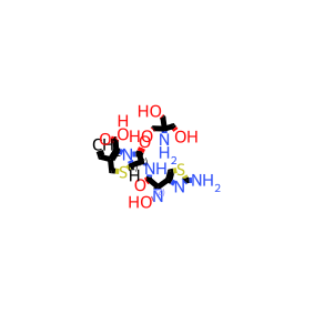 C=CC1=C(C(=O)O)N2C(=O)[C@@H](NC(=O)/C(=N\O)c3csc(N)n3)[C@H]2SC1.NC(CO)(CO)CO